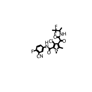 Cc1c(C(=O)C(=O)NC(C)C(C)(F)F)c(Cl)c(C(=O)Nc2ccc(F)c(C#N)c2)n1C